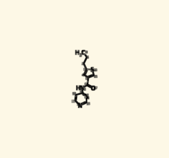 CCCc1cc(C(=O)Nc2ccncn2)cs1